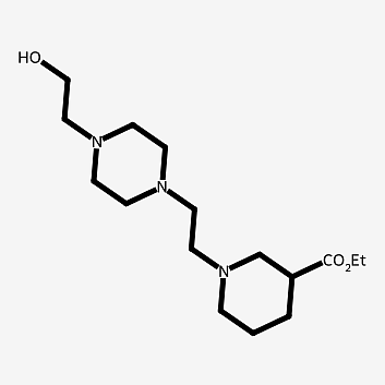 CCOC(=O)C1CCCN(CCN2CCN(CCO)CC2)C1